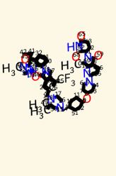 CC1c2nc(N3CCC(O[C@H]4CC[C@H](CN5CCN(Cc6cc7c(c(C(F)(F)F)c6)CN(c6cccc(C8(c9nncn9C)CCO8)c6)C7=O)C(C)(C)C5)CC4)CC3)ccc2C(=O)N1C1CCC(=O)NC1=O